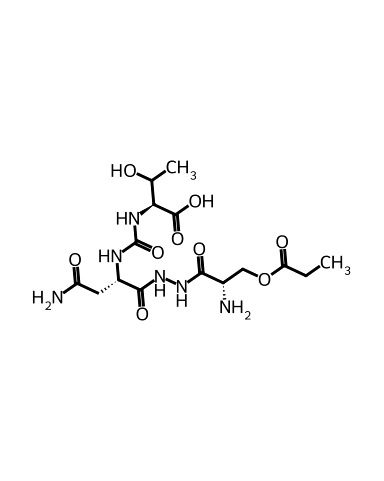 CCC(=O)OC[C@H](N)C(=O)NNC(=O)[C@H](CC(N)=O)NC(=O)N[C@H](C(=O)O)C(C)O